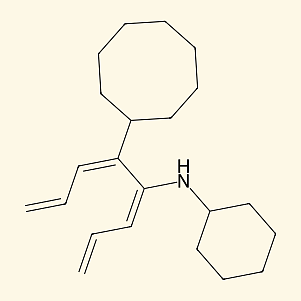 C=C/C=C(\C(=C/C=C)NC1CCCCC1)C1CCCCCCC1